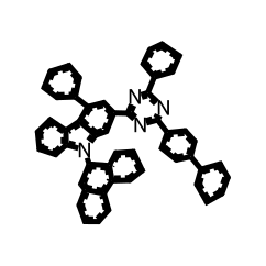 c1ccc(-c2ccc(-c3nc(-c4ccccc4)nc(-c4cc(-c5ccccc5)c5c6ccccc6n(-c6cc7ccccc7c7ccccc67)c5c4)n3)cc2)cc1